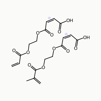 C=C(C)C(=O)OCCOC(=O)/C=C\C(=O)O.C=CC(=O)OCCOC(=O)/C=C\C(=O)O